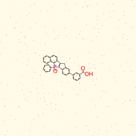 O=C(O)c1cccc(-c2ccc3c(c2)CC2=C3P(=O)(c3ccccc3)c3c2ccc2ccccc32)c1